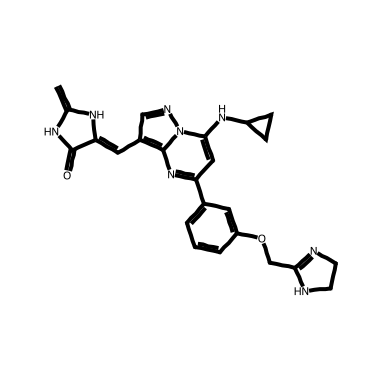 C=c1[nH]c(=O)/c(=C/c2cnn3c(NC4CC4)cc(-c4cccc(OCC5=NCCN5)c4)nc23)[nH]1